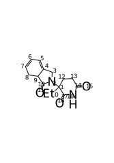 CCC1(N2CC3=CC=CCC3C2=O)CCC(=O)NC1=O